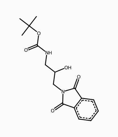 CC(C)(C)OC(=O)NCC(O)CN1C(=O)c2ccccc2C1=O